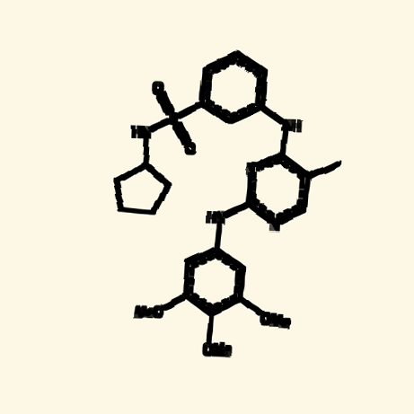 COc1cc(Nc2ncc(C)c(Nc3cccc(S(=O)(=O)NC4CCCC4)c3)n2)cc(OC)c1OC